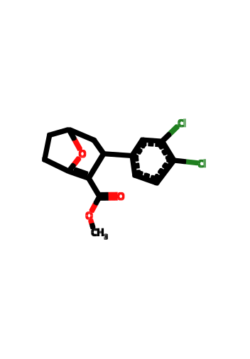 COC(=O)C1=C2CCC(CC1c1ccc(Cl)c(Cl)c1)O2